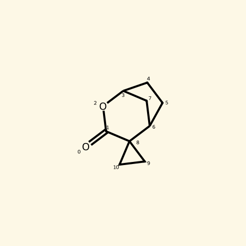 O=C1OC2CCC(C2)C12CC2